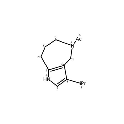 CC(=O)N1CCCc2[nH]cc(C(C)C)c2C1